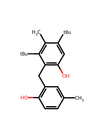 Cc1ccc(O)c(Cc2c(O)cc(C(C)(C)C)c(C)c2C(C)(C)C)c1